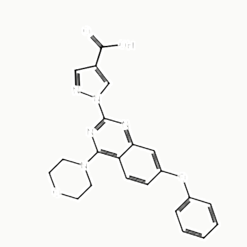 O=C(O)c1cnn(-c2nc(N3CCOCC3)c3ccc(Oc4ccccc4)cc3n2)c1